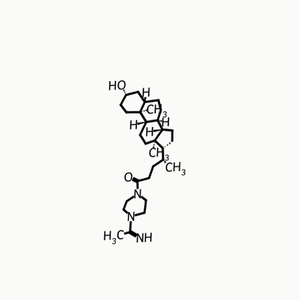 CC(=N)N1CCN(C(=O)CC[C@@H](C)[C@H]2CC[C@H]3[C@@H]4CC[C@H]5C[C@@H](O)CC[C@]5(C)[C@H]4CC[C@]23C)CC1